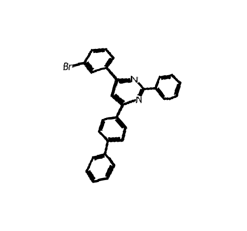 Brc1cccc(-c2cc(-c3ccc(-c4ccccc4)cc3)nc(-c3ccccc3)n2)c1